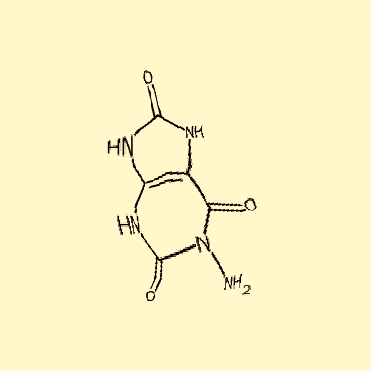 Nn1c(=O)[nH]c2[nH]c(=O)[nH]c2c1=O